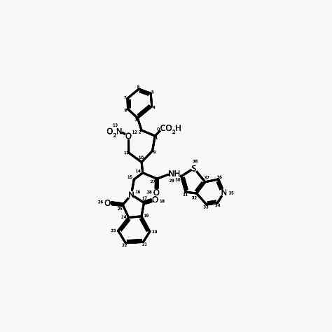 O=C(O)C(Cc1ccccc1)CC(CO[N+](=O)[O-])C(CN1C(=O)c2ccccc2C1=O)C(=O)Nc1cc2ccncc2s1